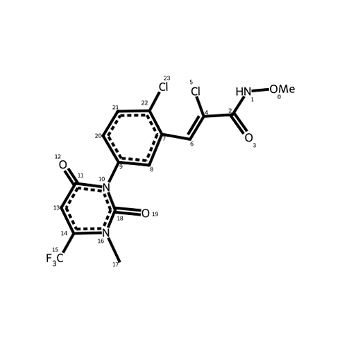 CONC(=O)/C(Cl)=C/c1cc(-n2c(=O)cc(C(F)(F)F)n(C)c2=O)ccc1Cl